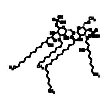 CCCCCC/C=C\CCCCCCCCCC(=O)N[C@H]1[C@H](OC[C@H]2O[C@H](OP(=O)(O)O)[C@H](NC(=O)CC(O)CCCCCCCCCCC)[C@@H](OCCCCCCCCCC)[C@@H]2O)O[C@H](COC)[C@@H](OP(=O)(O)O)[C@@H]1OCCC(O)CCCCCCC